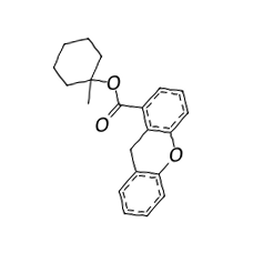 CC1(OC(=O)c2cccc3c2Cc2ccccc2O3)CCCCC1